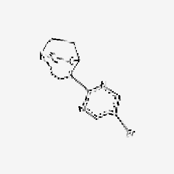 Brc1cnc(N2CCN3CCC2CC3)nc1